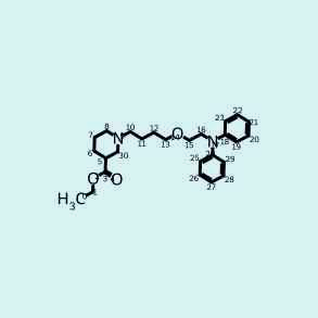 CCOC(=O)C1CCCN(CCCCOCCN(c2ccccc2)c2ccccc2)C1